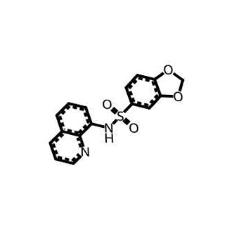 O=S(=O)(Nc1cccc2cccnc12)c1ccc2c(c1)OCO2